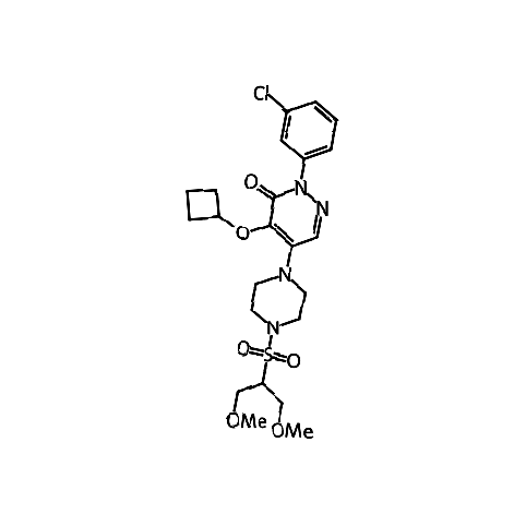 COCC(COC)S(=O)(=O)N1CCN(c2cnn(-c3cccc(Cl)c3)c(=O)c2OC2CCC2)CC1